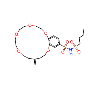 C=C1CCOCCOCCOCCOc2ccc(S(=O)(=O)NS(=O)(=O)CCCC)cc2OCC1